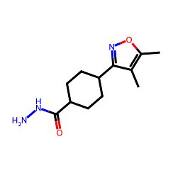 Cc1onc(C2CCC(C(=O)NN)CC2)c1C